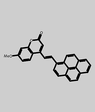 COc1ccc2c(C=Cc3ccc4ccc5cccc6ccc3c4c56)cc(=O)oc2c1